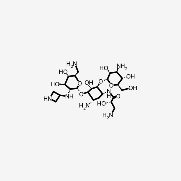 NC[C@H](O)C(=O)N[C@@H]1C[C@H](N)C(O[C@H]2O[C@H](CN)[C@@H](O)[C@H](O)[C@H]2NC2CNC2)[C@H](O)[C@H]1O[C@H]1O[C@H](CO)[C@@H](O)[C@H](N)[C@H]1O